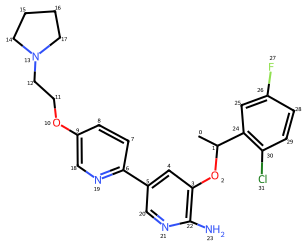 CC(Oc1cc(-c2ccc(OCCN3CCCC3)cn2)cnc1N)c1cc(F)ccc1Cl